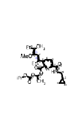 CC/C(C)=C(/C=C(\CC)c1ccc(C(=O)NCC2CC2)nc1C(=O)OC(C)OC(=O)OC(C)C)OC